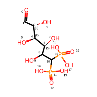 O=C[C@H](O)[C@H](O)[C@H](O)C(O)C(P(=O)(O)O)P(=O)(O)O